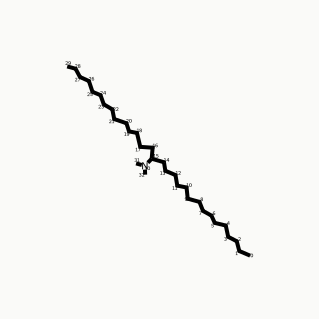 CCCCCCCCCCCCCCCC(CCCCCCCCCCCCCC)N(C)C